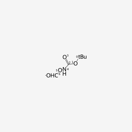 CC(C)(C)OC(=O)NO[C]=O